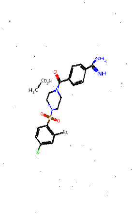 CC(=O)O.CCc1cc(Br)ccc1S(=O)(=O)N1CCN(C(=O)c2ccc(C(=N)N)cc2)CC1